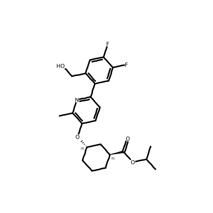 Cc1nc(-c2cc(F)c(F)cc2CO)ccc1O[C@H]1CCC[C@H](C(=O)OC(C)C)C1